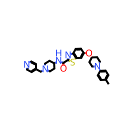 Cc1ccc(N2CCC(Oc3ccc4nc(C(=O)NC5CCN(Cc6ccncc6)CC5)sc4c3)CC2)cc1